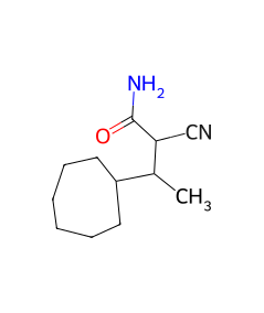 CC(C1CCCCCC1)C(C#N)C(N)=O